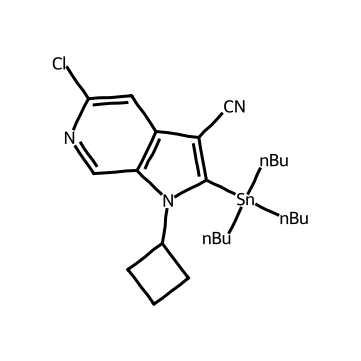 CCC[CH2][Sn]([CH2]CCC)([CH2]CCC)[c]1c(C#N)c2cc(Cl)ncc2n1C1CCC1